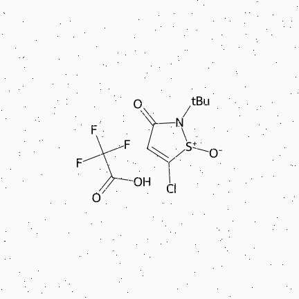 CC(C)(C)n1c(=O)cc(Cl)[s+]1[O-].O=C(O)C(F)(F)F